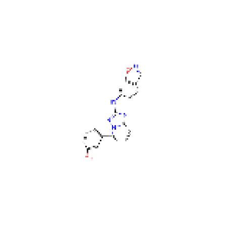 Oc1cccc(-c2cccc3nc(Nc4ccc5cnoc5c4)nn23)c1